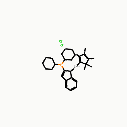 CC1=C(C)C(C)(C)[C]([Zr+2][CH]2C(P(C3CCCCC3)C3CCCCC3)=Cc3ccccc32)=C1C.[Cl-].[Cl-]